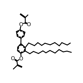 C=C(C)C(=O)Oc1ccc(-c2ccc(OC(=O)C(=C)C)c(CCCCCCCCCCC)c2CCCCCCCCCCC)cc1